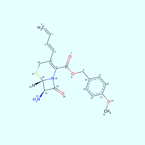 C=C/C=C/C1=C(C(=O)OCc2ccc(OC)cc2)N2C(=O)[C@@H](N)[C@@H]2SC1